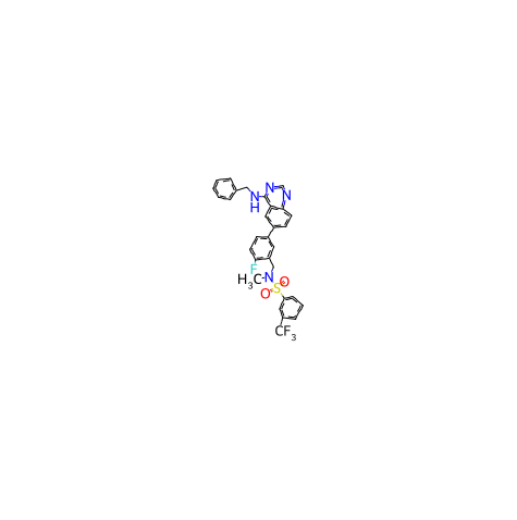 CN(Cc1cc(-c2ccc3ncnc(NCc4ccccc4)c3c2)ccc1F)S(=O)(=O)c1cccc(C(F)(F)F)c1